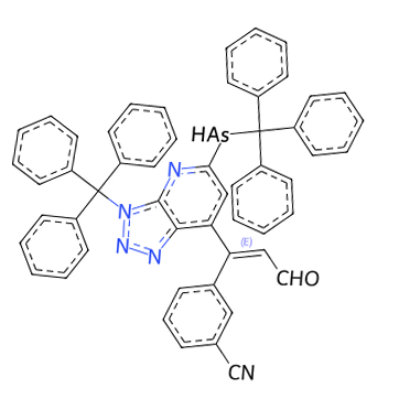 N#Cc1cccc(/C(=C\C=O)c2cc([AsH]C(c3ccccc3)(c3ccccc3)c3ccccc3)nc3c2nnn3C(c2ccccc2)(c2ccccc2)c2ccccc2)c1